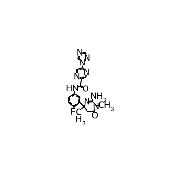 CN1C(=O)CC(C)(c2cc(NC(=O)c3cnc(-n4cncn4)cn3)ccc2F)N=C1N